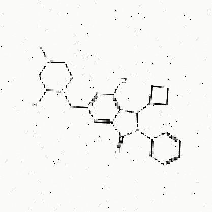 CC(C)C1CN(C)CCN1Cc1cc2c(c(C(F)(F)F)c1)C(C1CCC1)N(c1ccccc1)C2=O